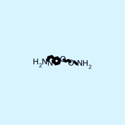 NCCOCCOc1ccc2nc(N)ccc2c1